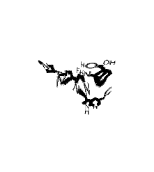 CN1CC(n2cc(-c3nc(-c4c[nH]c5ncc(F)cc45)nc(NC4C5CCC(CC5)C4C(O)O)c3F)cn2)C1